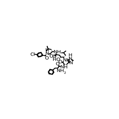 CC(C)C[C@H](NC(=O)C[C@H](O)[C@H](CC(C)C)NC(=O)[C@H](Cc1c[nH]cn1)NC(=O)[C@@H](N)Cc1ccccc1)C(=O)NC(=O)c1ccc(Cl)cc1